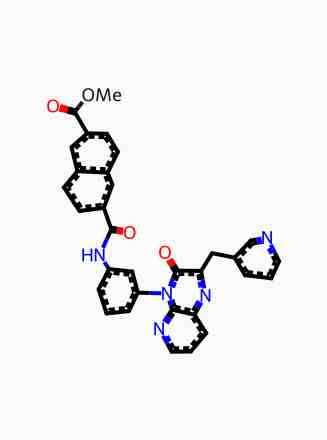 COC(=O)c1ccc2cc(C(=O)Nc3cccc(-n4c(=O)c(Cc5cccnc5)nc5cccnc54)c3)ccc2c1